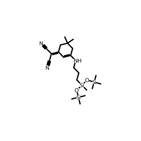 CC1(C)CC(NCCC[Si](C)(O[Si](C)(C)C)O[Si](C)(C)C)=CC(=C(C#N)C#N)C1